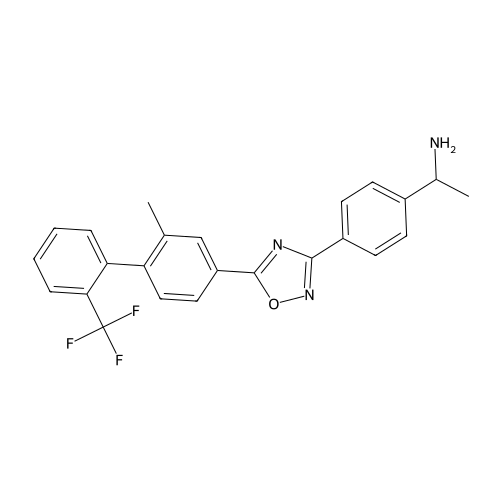 Cc1cc(-c2nc(-c3ccc(C(C)N)cc3)no2)ccc1-c1ccccc1C(F)(F)F